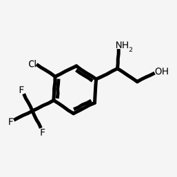 NC(CO)c1ccc(C(F)(F)F)c(Cl)c1